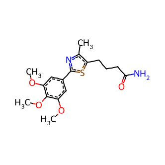 COc1cc(-c2nc(C)c(CCCC(N)=O)s2)cc(OC)c1OC